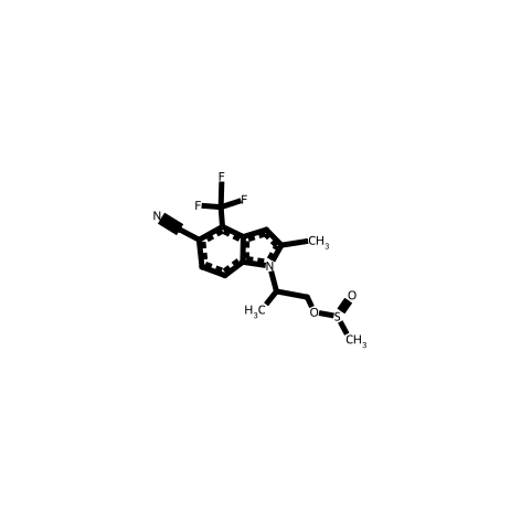 Cc1cc2c(C(F)(F)F)c(C#N)ccc2n1C(C)COS(C)=O